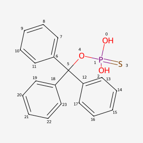 OP(O)(=S)OC(c1ccccc1)(c1ccccc1)c1ccccc1